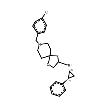 Clc1ccc(CN2CCC3(CC2)CC(N[C@@H]2C[C@H]2c2ccccc2)CO3)cc1